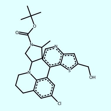 CC1CC(N2CCCc3cc(Cl)cc(-c4ccnc5cc(CO)sc45)c32)CN1C(=O)OC(C)(C)C